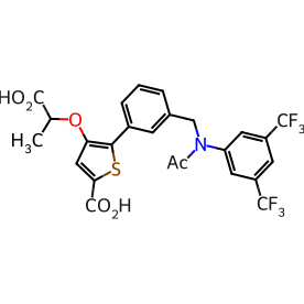 CC(=O)N(Cc1cccc(-c2sc(C(=O)O)cc2OC(C)C(=O)O)c1)c1cc(C(F)(F)F)cc(C(F)(F)F)c1